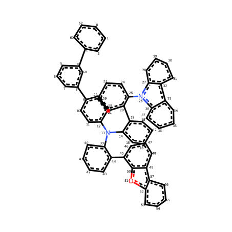 c1ccc(-c2cccc(-c3ccc(N(c4ccccc4-c4ccccc4-n4c5ccccc5c5ccccc54)c4ccccc4-c4cccc5c4oc4ccccc45)cc3)c2)cc1